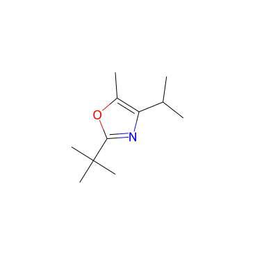 Cc1oc(C(C)(C)C)nc1C(C)C